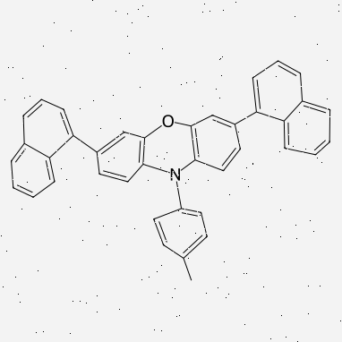 Cc1ccc(N2c3ccc(-c4cccc5ccccc45)cc3Oc3cc(-c4cccc5ccccc45)ccc32)cc1